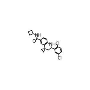 O=C(NC1CCC1)c1ccc2c(c1)C1(CC1)CC(c1cc(Cl)ccc1Cl)N2